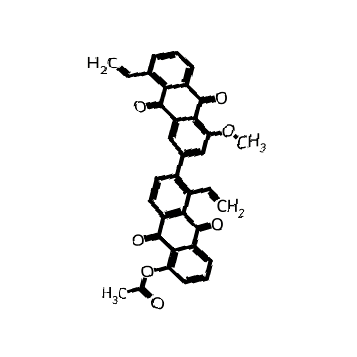 C=Cc1cccc2c1C(=O)c1cc(-c3ccc4c(c3C=C)C(=O)c3cccc(OC(C)=O)c3C4=O)cc(OC)c1C2=O